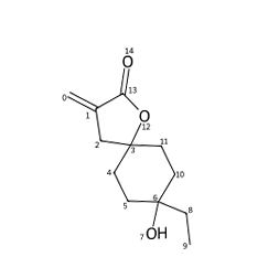 C=C1CC2(CCC(O)(CC)CC2)OC1=O